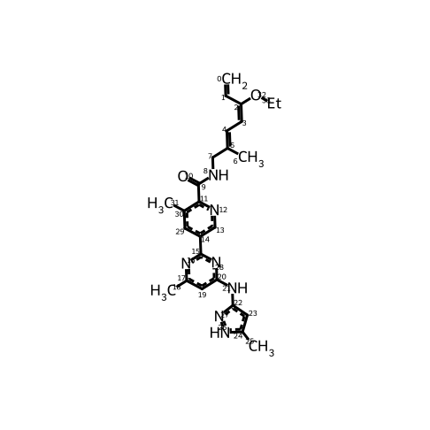 C=C/C(=C\C=C(/C)CNC(=O)c1ncc(-c2nc(C)cc(Nc3cc(C)[nH]n3)n2)cc1C)OCC